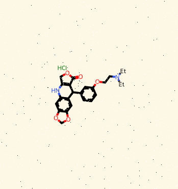 CCN(CC)CCOc1cccc(C2C3=C(COC3=O)Nc3cc4c(cc32)OCO4)c1.Cl